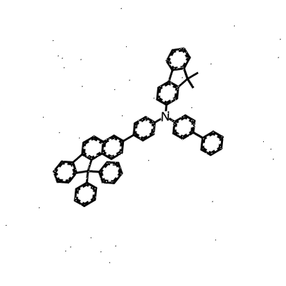 CC1(C)c2ccccc2-c2ccc(N(c3ccc(-c4ccccc4)cc3)c3ccc(-c4ccc5c6c(ccc5c4)-c4ccccc4C6(c4ccccc4)c4ccccc4)cc3)cc21